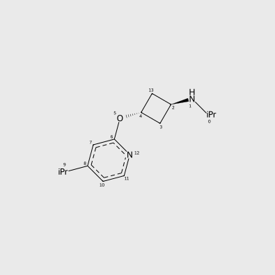 CC(C)N[C@H]1C[C@H](Oc2cc(C(C)C)ccn2)C1